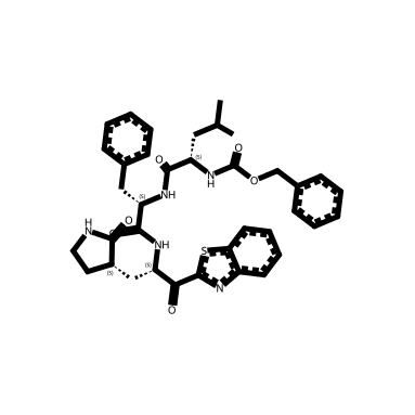 CC(C)C[C@H](NC(=O)OCc1ccccc1)C(=O)N[C@@H](Cc1ccccc1)C(=O)N[C@@H](C[C@@H]1CCNC1=O)C(=O)c1nc2ccccc2s1